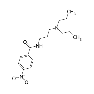 CCCN(CCC)CCCNC(=O)c1ccc([N+](=O)[O-])cc1